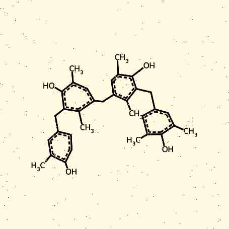 Cc1cc(Cc2c(C)c(Cc3cc(C)c(O)c(Cc4cc(C)c(O)c(C)c4)c3C)cc(C)c2O)ccc1O